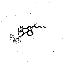 CCN(CC)C(=O)[C@@H]1C=C2c3cccc4c3c(cn4C(=O)CCC(C)C)C[C@H]2N(C)C1